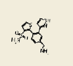 NCc1ccc(-c2sccc2S(N)(=O)=O)c(-c2cc[nH]n2)c1